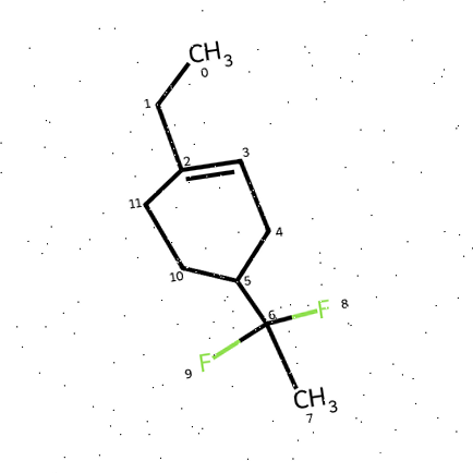 CCC1=CCC(C(C)(F)F)CC1